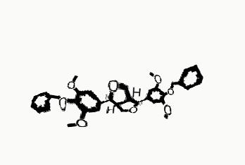 COc1cc([C@H]2OC[C@H]3[C@@H]2CO[C@@H]3c2cc(OC)c(OCc3ccccc3)c(OC)c2)cc(OC)c1OCc1ccccc1